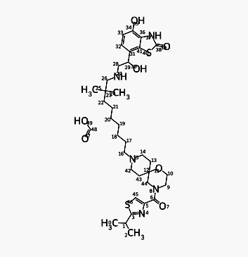 CC(C)c1nc(C(=O)N2CCOC3(CCN(CCCCCCCC(C)(C)CNCC(O)c4ccc(O)c5[nH]c(=O)sc45)CC3)C2)cs1.O=CO